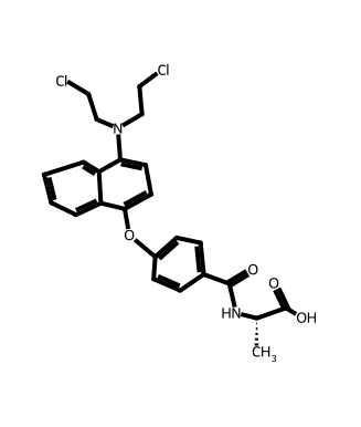 C[C@H](NC(=O)c1ccc(Oc2ccc(N(CCCl)CCCl)c3ccccc23)cc1)C(=O)O